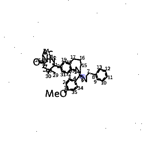 COc1ccc(/C(=N/Cc2ccccc2)N2CCCc3cc(C4=NN(C(C)=O)C(=O)SC4(C)C)ccc32)cc1